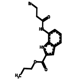 CCCOC(=O)c1cc2cccc(NC(=O)CCBr)c2[nH]1